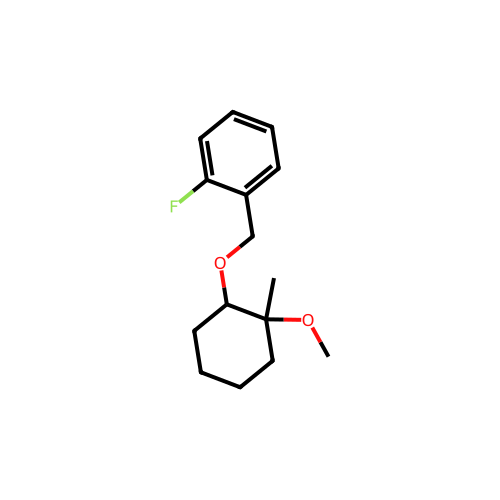 COC1(C)CCCCC1OCc1ccccc1F